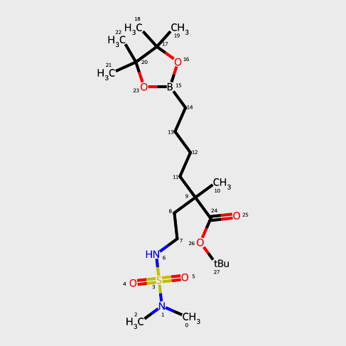 CN(C)S(=O)(=O)NCCC(C)(CCCCB1OC(C)(C)C(C)(C)O1)C(=O)OC(C)(C)C